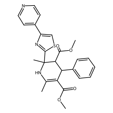 COC(=O)C1=C(C)NC(C)(c2nc(-c3ccncc3)cs2)C(C(=O)OC)C1c1ccccc1